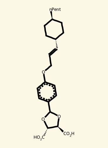 CCCCC[C@H]1CC[C@H](C=CCOc2ccc(C3O[C@@H](C(=O)O)[C@H](C(=O)O)O3)cc2)CC1